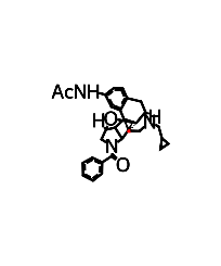 CC(=O)Nc1ccc2c(c1)[C@]13CCN(CC4CC4)[C@H](C2)[C@]12CCC1C3[C@@H](CN1C(=O)c1ccccc1)O2